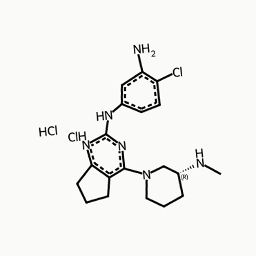 CN[C@@H]1CCCN(c2nc(Nc3ccc(Cl)c(N)c3)nc3c2CCC3)C1.Cl.Cl